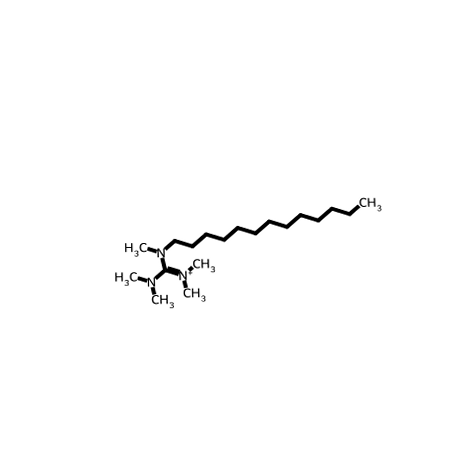 CCCCCCCCCCCCCN(C)C(N(C)C)=[N+](C)C